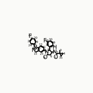 CC1(C(=O)NC2CC(=O)N(c3ccc4c(cnn4-c4ccc(F)cc4)c3)C2c2cccc(F)c2)CC1